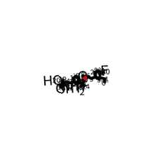 CCc1cc(CCCOc2ccc(CCC(N)(CO)CO)cc2C(F)(F)F)ccc1F